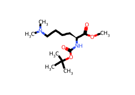 COC(=O)[C@H](CCCCN(C)C)NC(=O)OC(C)(C)C